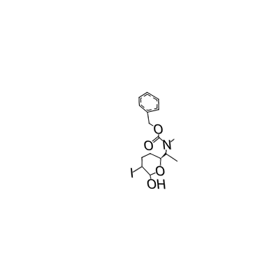 CC([C@@H]1CCC(I)C(O)O1)N(C)C(=O)OCc1ccccc1